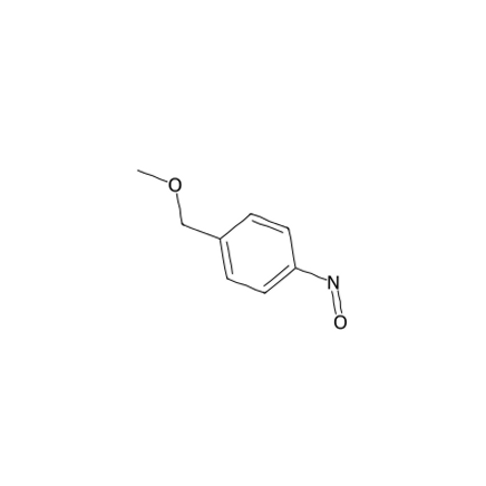 COCc1ccc(N=O)cc1